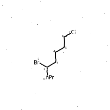 [CH2]CCC(Br)CCCCCl